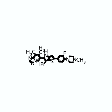 Cc1c(-c2[nH]c3cc(-c4ccc(N5CCN(C)CC5)c(F)c4)sc3c2C(C)C)cn2ncnc2c1C